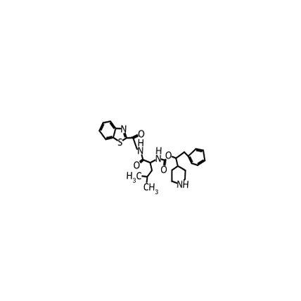 CC(C)CC(NC(=O)OC(Cc1ccccc1)C1CCNCC1)C(=O)NCC(=O)c1nc2ccccc2s1